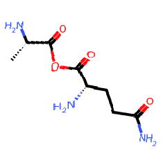 C[C@H](N)C(=O)OC(=O)[C@@H](N)CCC(N)=O